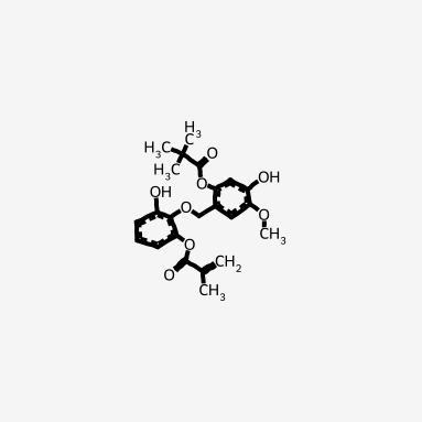 C=C(C)C(=O)Oc1cccc(O)c1OCc1cc(OC)c(O)cc1OC(=O)C(C)(C)C